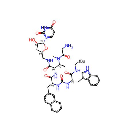 C[C@@H]([C@H](NC(=O)[C@H](Cc1ccc2ccccc2c1)NC(=O)N[C@@H](Cc1c[nH]c2ccccc12)C(=O)NCC(C)(C)C)C(=O)NC[C@H]1C[C@@H](O)[C@H](n2ccc(=O)[nH]c2=O)O1)N(C)C(=O)CN